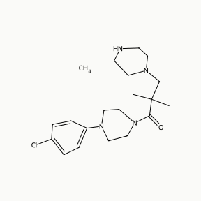 C.CC(C)(CN1CCNCC1)C(=O)N1CCN(c2ccc(Cl)cc2)CC1